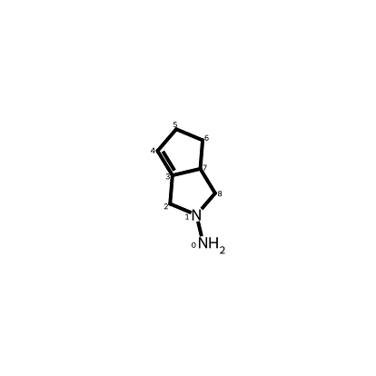 NN1CC2=CCCC2C1